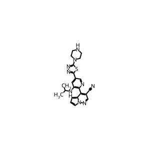 CC(C)Nc1cc(-c2nnc(N3CCNCC3)s2)cnc1-c1c(C#N)cnn2cccc12